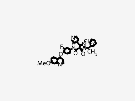 COc1ccc2c(Oc3ccc(NC(=O)c4c(-c5ccncc5)n(C)n([C@@H](C)c5ccccc5)c4=O)cc3F)ccnc2c1